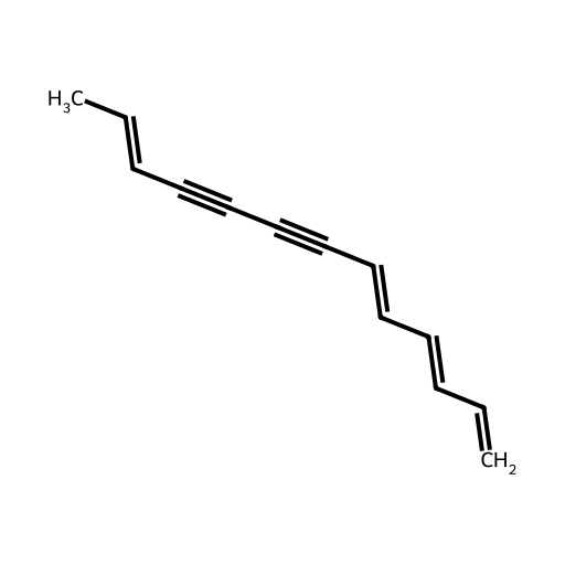 C=C/C=C/C=C/C#CC#C/C=C/C